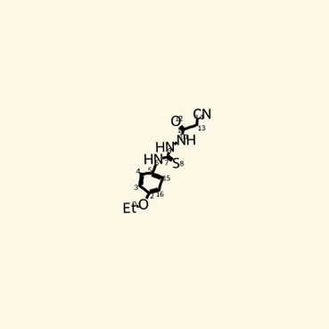 CCOc1ccc(NC(=S)NNC(=O)CC#N)cc1